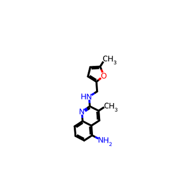 Cc1ccc(CNc2nc3cccc(N)c3cc2C)o1